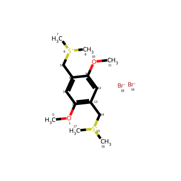 COc1cc(C[S+](C)C)c(OC)cc1C[S+](C)C.[Br-].[Br-]